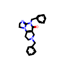 O=C1C2=C(CCN(Cc3ccccc3)C2)N2CCN=C2N1Cc1ccccc1